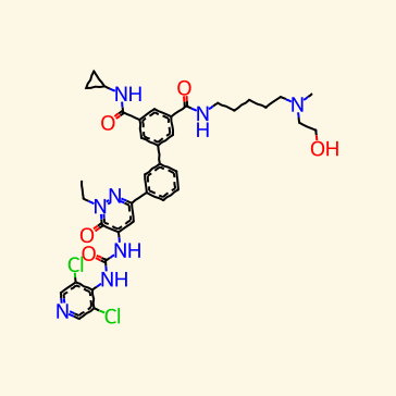 CCn1nc(-c2cccc(-c3cc(C(=O)NCCCCCN(C)CCO)cc(C(=O)NC4CC4)c3)c2)cc(NC(=O)Nc2c(Cl)cncc2Cl)c1=O